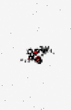 CCN(C)S(=O)(=O)NC(=O)c1ccc2c(C3CCCCC3)c3n(c2c1)CC1(C(=O)N2C4CC2CN(C)C4)CC1c1cc(OC)ccc1-3